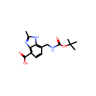 Cc1nc2c(C(=O)O)ccc(CNC(=O)OC(C)(C)C)c2[nH]1